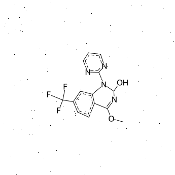 COC1=NC(O)N(c2ncccn2)c2cc(C(F)(F)F)ccc21